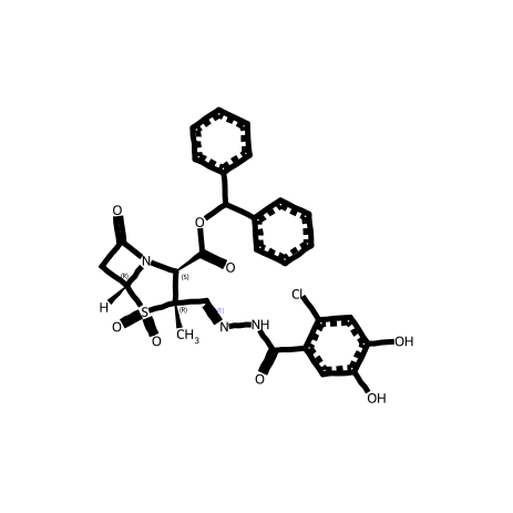 C[C@]1(/C=N/NC(=O)c2cc(O)c(O)cc2Cl)[C@H](C(=O)OC(c2ccccc2)c2ccccc2)N2C(=O)C[C@H]2S1(=O)=O